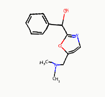 CN(C)Cc1cnc(C(O)c2ccccc2)o1